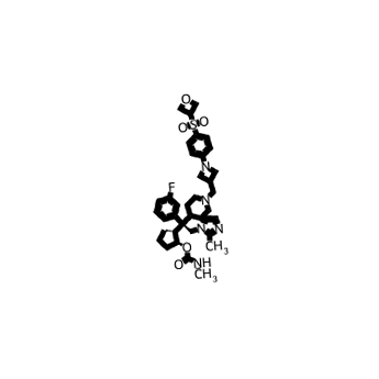 CNC(=O)O[C@H]1CCC[C@@H]1[C@](Cn1ccnc1C)(c1cccc(F)c1)C1CCN(CC2CN(c3ccc(S(=O)(=O)C4COC4)cc3)C2)CC1